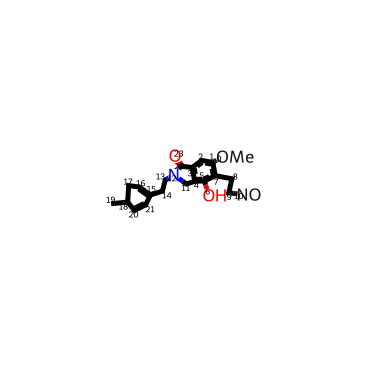 COc1cc2c(c(O)c1CCN=O)CN(CCC1=CCC(C)C=C1)C2=O